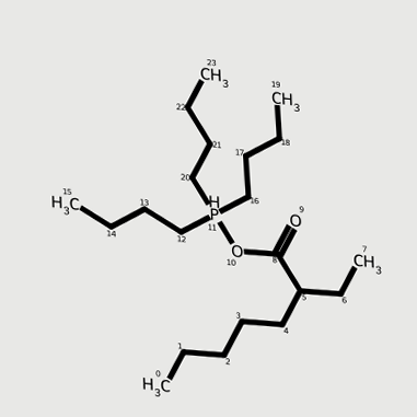 CCCCCC(CC)C(=O)O[PH](CCCC)(CCCC)CCCC